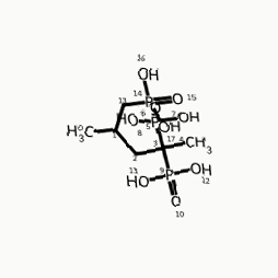 CC(CC(C)(P(=O)(O)O)P(=O)(O)O)CP(=O)(O)O